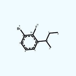 CCC(C)c1cccc(Br)c1F